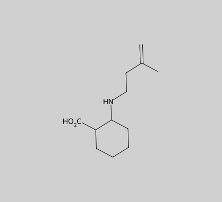 C=C(C)CCNC1CCCCC1C(=O)O